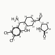 N[C@@H](c1cc(Cl)c(Cl)cc1O)C1CCN(C(=O)[C@@H]2CCC(=O)N2)CC1